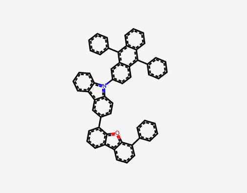 c1ccc(-c2c3ccccc3c(-c3ccccc3)c3cc(-n4c5ccccc5c5cc(-c6cccc7c6oc6c(-c8ccccc8)cccc67)ccc54)ccc23)cc1